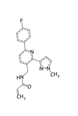 C=CC(=O)NCc1ccc(-c2ccc(F)cc2)nc1-c1ccn(C)n1